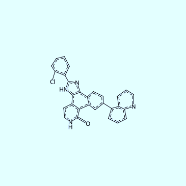 O=c1[nH]ccc2c3[nH]c(-c4ccccc4Cl)nc3c3ccc(-c4cccc5ncccc45)cc3c12